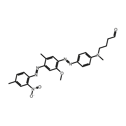 COc1cc(/N=N/c2ccc(C)cc2[N+](=O)[O-])c(C)cc1N=Nc1ccc(N(C)CCCC=O)cc1